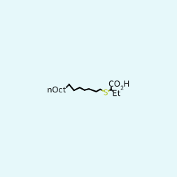 CCCCCCCCCCCCCCCSC(CC)C(=O)O